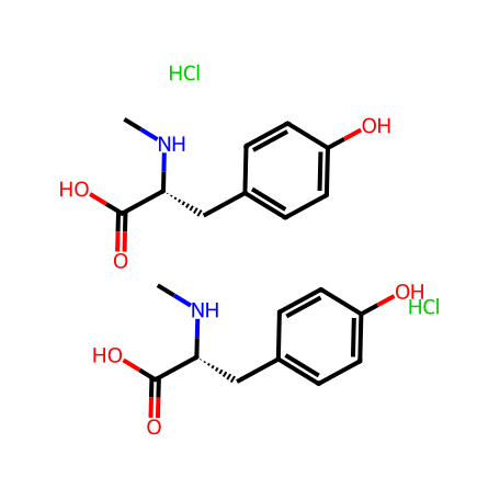 CN[C@H](Cc1ccc(O)cc1)C(=O)O.CN[C@H](Cc1ccc(O)cc1)C(=O)O.Cl.Cl